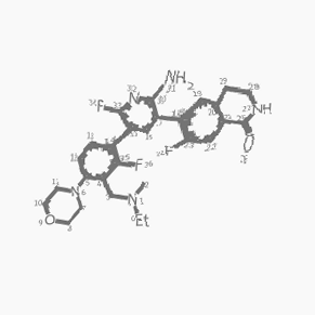 CCN(C)Cc1c(N2CCOCC2)ccc(-c2cc(-c3cc4c(cc3F)C(=O)NCC4)c(N)nc2F)c1F